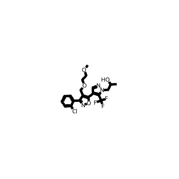 COCCOCc1c(-c2ccccc2Cl)noc1-c1cnn(CC(C)O)c1C(F)(F)F